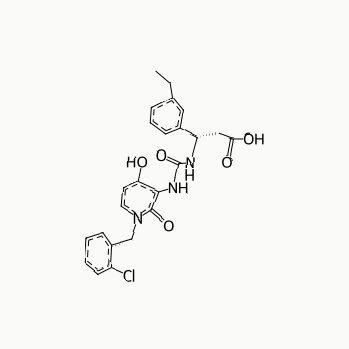 CCc1cccc([C@H](CC(=O)O)NC(=O)Nc2c(O)ccn(Cc3ccccc3Cl)c2=O)c1